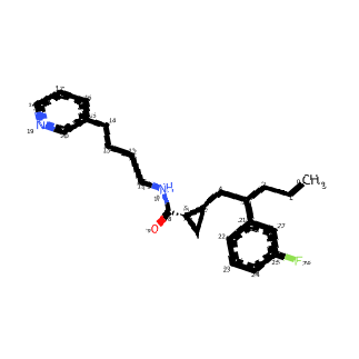 CCCC(CC1C[C@@H]1C(=O)NCCCCc1cccnc1)c1cccc(F)c1